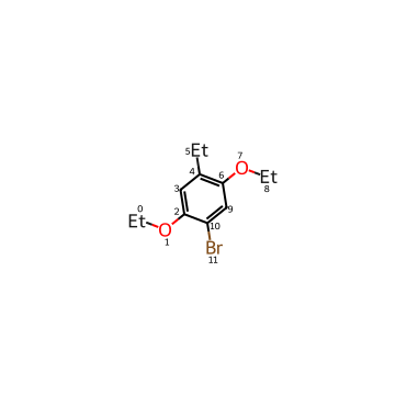 CCOc1cc(CC)c(OCC)cc1Br